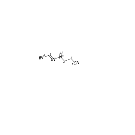 CC(C)/C=N/NCCC#N